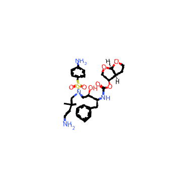 CC(C)(CCN)CN(C[C@@H](O)[C@H](Cc1ccccc1)NC(=O)O[C@H]1CO[C@H]2OCC[C@H]21)S(=O)(=O)c1ccc(N)cc1